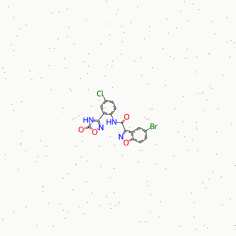 O=C(Nc1ccc(Cl)cc1-c1noc(=O)[nH]1)c1noc2ccc(Br)cc12